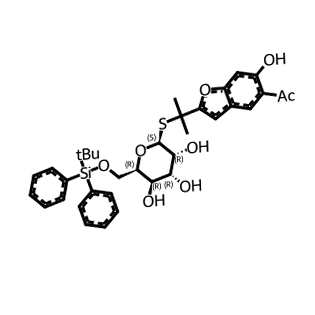 CC(=O)c1cc2cc(C(C)(C)S[C@@H]3O[C@H](CO[Si](c4ccccc4)(c4ccccc4)C(C)(C)C)[C@H](O)[C@@H](O)[C@H]3O)oc2cc1O